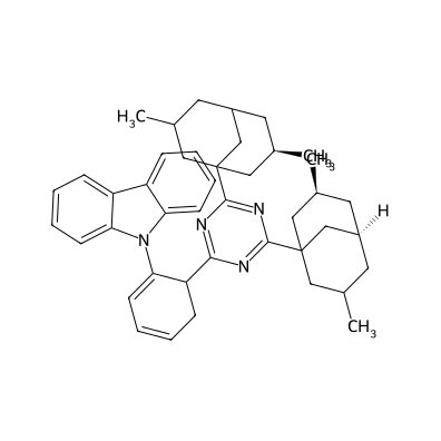 CC1CC2C[C@@H](C)CC(c3nc(C4CC=CC=C4n4c5ccccc5c5ccccc54)nc(C45CC(C)C[C@H](C[C@H](C)C4)C5)n3)(C1)C2